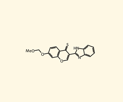 COCOc1ccc2c(=S)c(-c3nc4ccccc4[nH]3)coc2c1